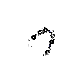 Cc1cc(/C=C/C(=O)N2CCN(Cc3ccc(/C=C/COc4ccc(Cl)nc4)cc3)CC2)cc(Cl)c1Oc1ccc(OCc2ccc(C#N)cc2)cn1.Cl